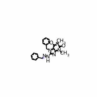 Cn1c(=O)c2c(nc(N/N=C/c3ccccc3)n2Cc2ccccc2)n(C)c1=O